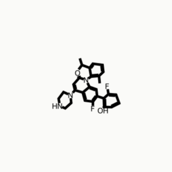 Cc1cccc(C(C)C)c1-n1c(=O)cc(N2CCNCC2)c2cc(F)c(-c3c(O)cccc3F)cc21